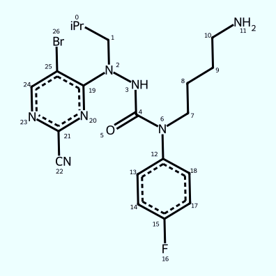 CC(C)CN(NC(=O)N(CCCCN)c1ccc(F)cc1)c1nc(C#N)ncc1Br